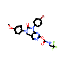 COc1ccc(N2Cc3cnc(OC(=O)NCC(F)(F)F)nc3N(c3ccc(Br)cc3)C2=O)cc1